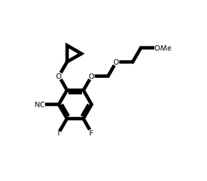 COCCOCOc1cc(F)c(I)c(C#N)c1OC1CC1